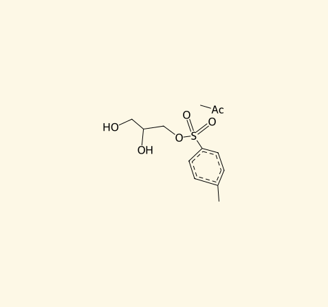 CC(C)=O.Cc1ccc(S(=O)(=O)OCC(O)CO)cc1